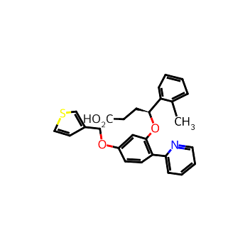 Cc1ccccc1[C@H](CCC(=O)O)Oc1cc(OCc2ccsc2)ccc1-c1ccccn1